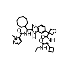 CCNC(=O)[C@H](NC(=O)C1(c2ccc3nc([C@@H](NC(=O)c4ccnn4C)C4CCCCCCC4)[nH]c3c2)COC1)C1CCC1